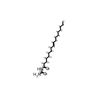 CCCCCCCCC=CCCCCCCCC(=O)NC(N)=O